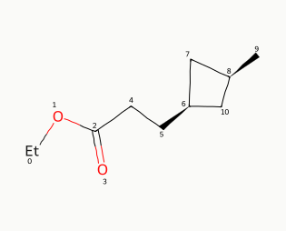 CCOC(=O)CC[C@H]1C[C@@H](C)C1